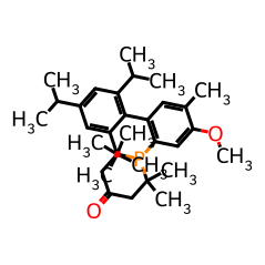 COc1cc(P2C(C)(C)CC(=O)CC2(C)C)c(-c2c(C(C)C)cc(C(C)C)cc2C(C)C)cc1C